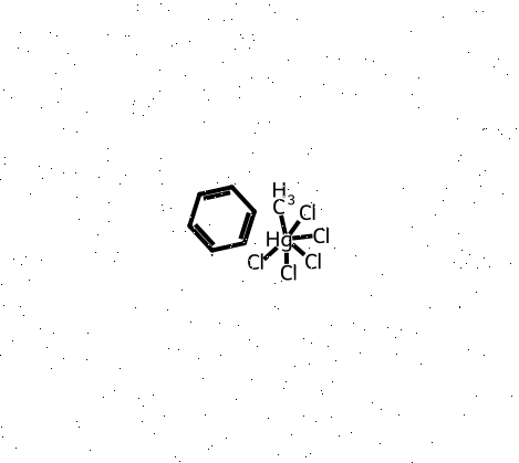 [CH3][Hg]([Cl])([Cl])([Cl])([Cl])[Cl].[c]1ccccc1